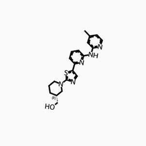 Cc1ccnc(Nc2cccc(-c3cnc(N4CCC[C@@H](CO)C4)s3)n2)c1